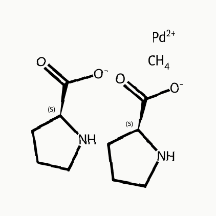 C.O=C([O-])[C@@H]1CCCN1.O=C([O-])[C@@H]1CCCN1.[Pd+2]